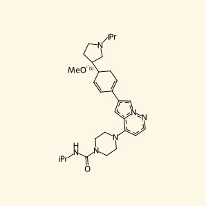 CO[C@]1(C2C=CC(c3cc4c(N5CCN(C(=O)NC(C)C)CC5)ccnn4c3)=CC2)CCN(C(C)C)C1